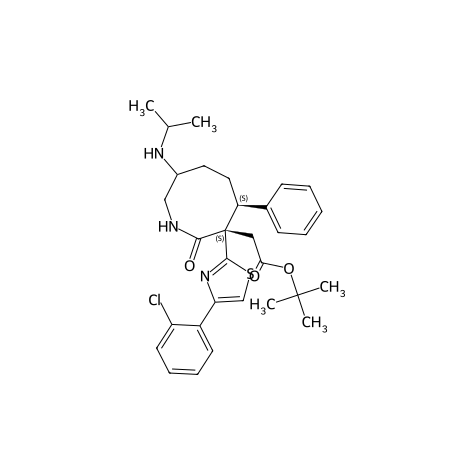 CC(C)NC1CC[C@@H](c2ccccc2)[C@](CC(=O)OC(C)(C)C)(c2nc(-c3ccccc3Cl)cs2)C(=O)NC1